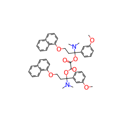 COc1cccc(C(CCOc2cccc3ccccc23)(OC(=O)C(=O)OC(CCOc2cccc3ccccc23)(c2cccc(OC)c2)N(C)C)N(C)C)c1